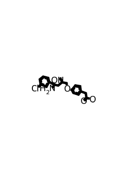 COC(=O)Cc1ccc(OCC(C)CC(N)(O)c2cccc(Cl)c2)cc1